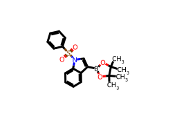 CC1(C)OB(c2cn(S(=O)(=O)c3ccccc3)c3ccccc23)OC1(C)C